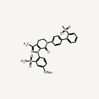 COc1ccc(-n2nc(C(F)(F)F)c3c2C(=O)N(c2ccc(-c4ccccc4S(C)(=O)=O)cc2)CC3)c(S(N)(=O)=O)c1